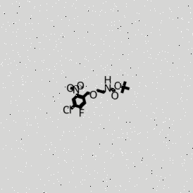 CC(C)(C)OC(=O)NCCOCc1cc(F)c(Cl)cc1[N+](=O)[O-]